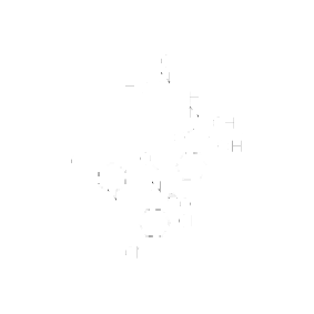 CO[C@]1(c2ccc(Cl)cc2)c2ccc(C(C)(O)C(=O)NCCN(C)C)cc2C(=O)N1Cc1ccc(Cl)cn1